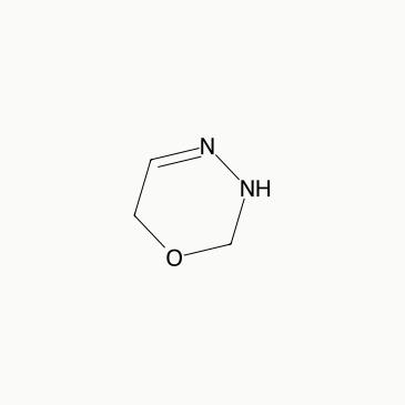 C1=NNCOC1